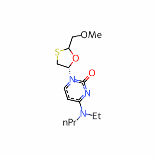 CCCN(CC)c1ccn([C@@H]2CSC(COC)O2)c(=O)n1